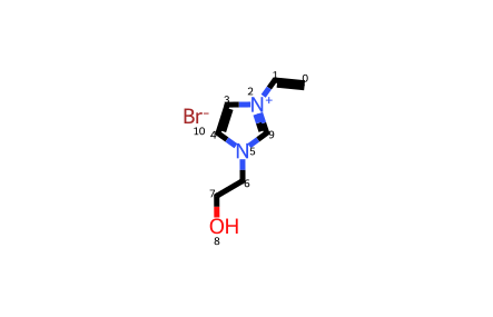 C=C[n+]1ccn(CCO)c1.[Br-]